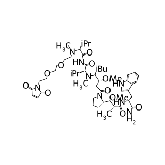 CC[C@H](C)[C@@H]([C@@H](CC(=O)N1CCC[C@H]1[C@H](OC)[C@@H](C)C(=O)N[C@@H](Cc1c[nH]c2ccccc12)C(N)=O)OC)N(C)[C@H](C(=O)NC(=O)[C@H](C(C)C)N(C)CCOCCOCCN1C(=O)C=CC1=O)C(C)C